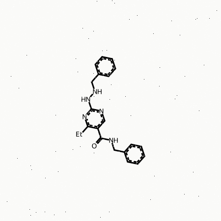 CCc1nc(NNCc2ccccc2)ncc1C(=O)NCc1ccccc1